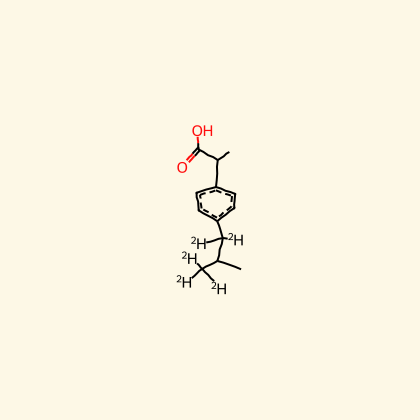 [2H]C([2H])([2H])C(C)C([2H])([2H])c1ccc(C(C)C(=O)O)cc1